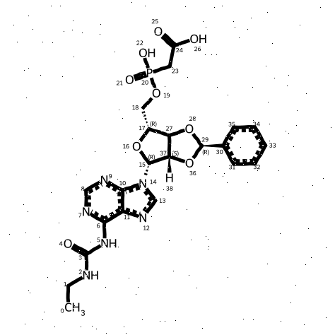 CCNC(=O)Nc1ncnc2c1ncn2[C@@H]1O[C@H](COP(=O)(O)CC(=O)O)C2O[C@@H](c3ccccc3)O[C@@H]21